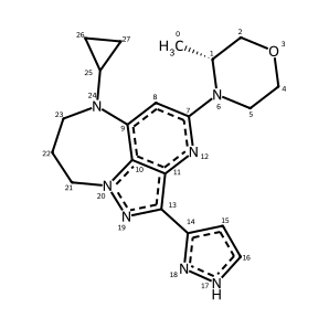 C[C@@H]1COCCN1c1cc2c3c(n1)c(-c1cc[nH]n1)nn3CCCN2C1CC1